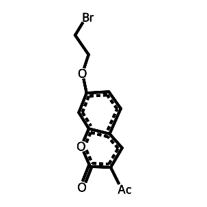 CC(=O)c1cc2ccc(OCCBr)cc2oc1=O